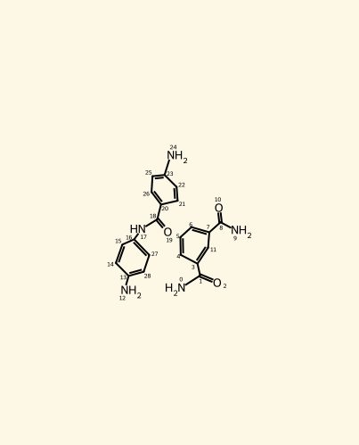 NC(=O)c1cccc(C(N)=O)c1.Nc1ccc(NC(=O)c2ccc(N)cc2)cc1